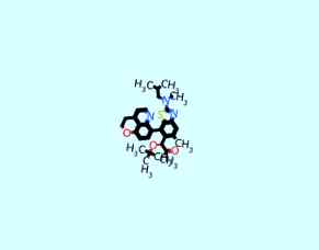 CC(=O)[C@@H](OC(C)(C)C)c1c(C)cc2nc(N(C)CC(C)C)sc2c1-c1ccc2c3c(ccnc13)CCO2